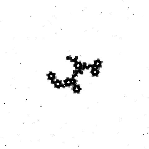 CC(C)(C)OC(=O)N1CCC(NC(=O)OCC2c3ccccc3-c3ccccc32)(C(=O)NCCn2cc(-c3ccccc3)c3cc(CN4CCN(Cc5ccccc5)CC4)ccc32)CC1